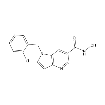 O=C(NO)c1cnc2ccn(Cc3ccccc3Cl)c2c1